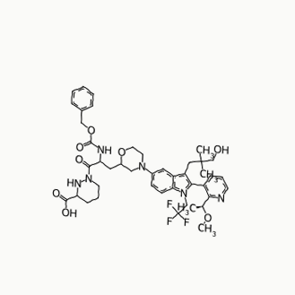 CO[C@@H](C)c1ncccc1-c1c(CC(C)(C)CO)c2cc(N3CCOC(CC(NC(=O)OCc4ccccc4)C(=O)N4CCCC(C(=O)O)N4)C3)ccc2n1CC(F)(F)F